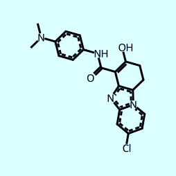 CN(C)c1ccc(NC(=O)C2=C(O)CCc3c2nc2cc(Cl)ccn32)cc1